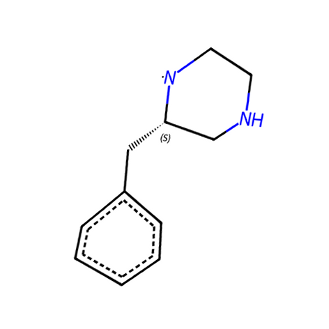 c1ccc(C[C@H]2CNCC[N]2)cc1